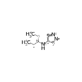 CCC(CC)Nc1[c]nns1